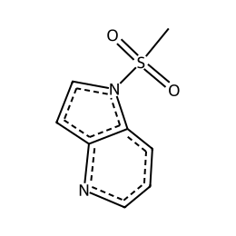 CS(=O)(=O)n1ccc2ncccc21